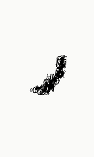 COCC(=O)Cn1c(=O)c2c(ncn2[C@@H](C)C(=O)Nc2cccc(-c3cnc(C(C)(F)F)nc3)n2)n(C)c1=O